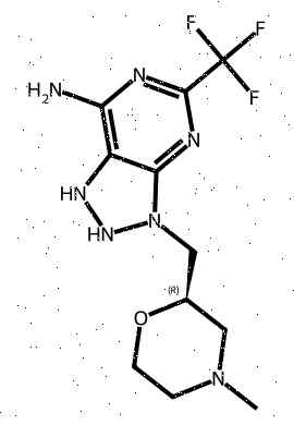 CN1CCO[C@@H](CN2NNc3c(N)nc(C(F)(F)F)nc32)C1